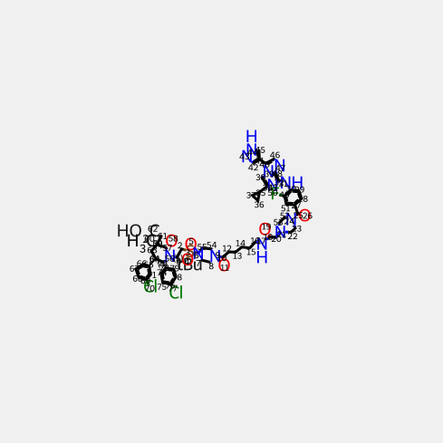 CC(C)(C)[C@@H](CS(=O)(=O)N1CCN(C(=O)CCCCCNC(=O)CN2CCN(C(=O)c3ccc(Nc4nc(C5CC5)cn5c(-c6cn[nH]c6)cnc45)c(F)c3)CC2)CC1)N1C(=O)[C@@](C)(CC(=O)O)C[C@H](c2cccc(Cl)c2)[C@H]1c1ccc(Cl)cc1